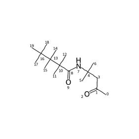 CC(=O)CC(C)(C)NC(=O)C(C)(C)C(C)(C)C(C)(C)C